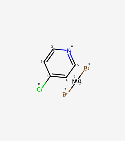 Clc1c[c]ncc1.[Br][Mg][Br]